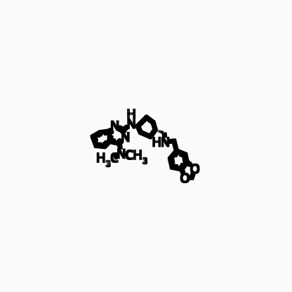 CN(C)c1nc(N[C@H]2CC[C@@H](CNCc3ccc4c(c3)OCO4)CC2)nc2ccccc12